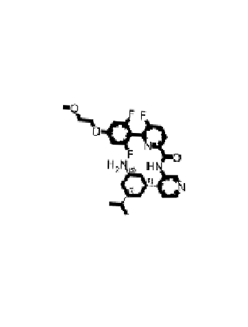 COCCOc1cc(F)c(-c2nc(C(=O)Nc3cnccc3[C@H]3C[C@@H](N)C[C@@H](C(C)C)C3)ccc2F)c(F)c1